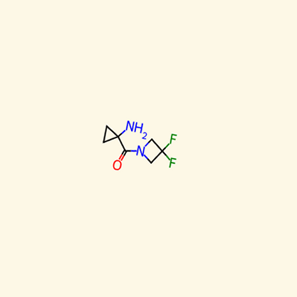 NC1(C(=O)N2CC(F)(F)C2)CC1